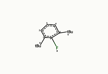 CC(C)(C)c1cccc(C(C)(C)C)c1F